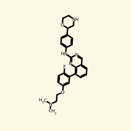 CN(C)CCOc1ccc(F)c(-c2cccc3cnc(Nc4ccc(C5CNCCO5)cc4)nc23)c1